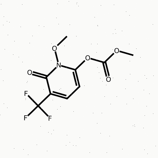 COC(=O)Oc1ccc(C(F)(F)F)c(=O)n1OC